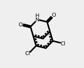 O=C1NC(=O)c2cc1c(Cl)cc2Cl